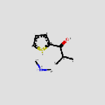 CC(C)C(=O)c1cccs1.CNC